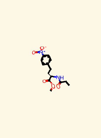 CCC(=O)N[C@H](CCc1ccc([N+](=O)[O-])cc1)C(=O)OC